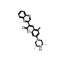 CCC(=O)/C(=C\c1ccc(N2C[C@@H](C)N[C@@H](C)C2)cc1C)c1cnc2ccccc2n1